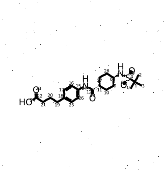 CC(C)(C)S(=O)(=O)N[C@H]1CC[C@H](C(=O)Nc2ccc(CCCC(=O)O)cc2)CC1